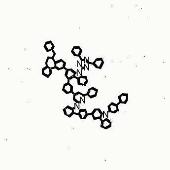 c1ccc(CC2CCc3ccccc3-c3cc(-c4cc(-c5cccc(-c6cc(-c7ccccc7)nc(-n7c8ccccc8c8ccc(-c9ccc%10c(c9)c9ccccc9n%10-c9ccc(-c%10ccccc%10)cc9)cc87)c6)c5)c5c6ccccc6n(-c6nc(-c7ccccc7)nc(-c7ccccc7)n6)c5c4)ccc32)cc1